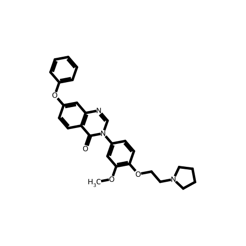 COc1cc(-n2cnc3cc(Oc4ccccc4)ccc3c2=O)ccc1OCCN1CCCC1